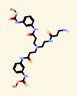 CC(C)(C)OC(=O)Nc1cccc(NC(=O)CCN(CCNC(=O)CCN)CCC(=O)Nc2cccc(NC(=O)OC(C)(C)C)c2)c1